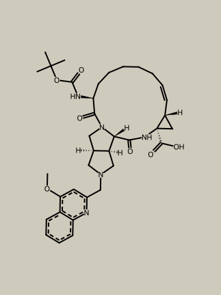 COc1cc(CN2C[C@H]3CN4C(=O)[C@@H](NC(=O)OC(C)(C)C)CCCCC/C=C\[C@@H]5C[C@@]5(C(=O)O)NC(=O)[C@@H]4[C@H]3C2)nc2ccccc12